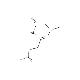 CN(C)/N=C(/CCC(=O)O)C(=O)N=O